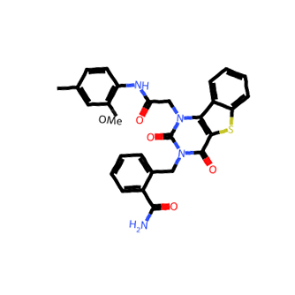 COc1cc(C)ccc1NC(=O)Cn1c(=O)n(Cc2ccccc2C(N)=O)c(=O)c2sc3ccccc3c21